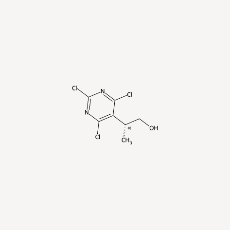 C[C@@H](CO)c1c(Cl)nc(Cl)nc1Cl